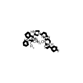 CCc1nc2ccc(N3CCN[C@@H](C(O)c4ccccc4[SiH](c4ccccc4)C(C)(C)C)C3)nn2c1N(C)c1nc(-c2ccc(F)cc2)cs1